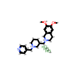 COc1cc2c(cc1OC)CN(CC1CCCN(Cc3ccncc3)C1)CC2.Cl.Cl.Cl